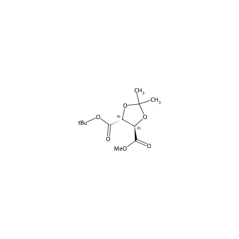 COC(=O)[C@@H]1OC(C)(C)O[C@H]1C(=O)OC(C)(C)C